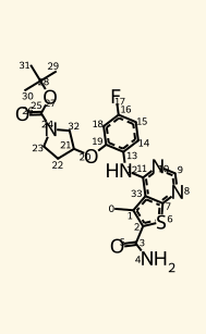 Cc1c(C(N)=O)sc2ncnc(Nc3ccc(F)cc3OC3CCN(C(=O)OC(C)(C)C)C3)c12